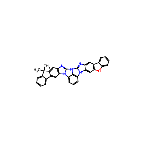 CC1(C)c2ccccc2-c2cc3c(cc21)nc1n3c2cccc3c2n1c1nc2cc4c(cc2n31)oc1ccccc14